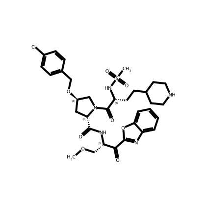 COC[C@H](NC(=O)[C@@H]1C[C@@H](OCc2ccc(Cl)cc2)CN1C(=O)[C@@H](CCC1CCNCC1)NS(C)(=O)=O)C(=O)c1nc2ccccc2o1